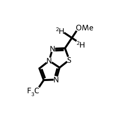 [2H]C([2H])(OC)c1nn2cc(C(F)(F)F)nc2s1